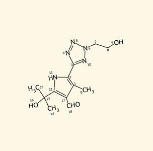 Cc1c(-c2nnn(CCO)n2)[nH]c(C(C)(C)O)c1C=O